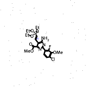 CCO[Si](/C=C/c1c(N)nc(-c2ccc(Cl)c(OC)c2F)nc1C(=O)OC)(OCC)OCC